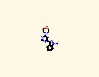 c1ccc2c(-c3cc(N4CCOCC4)ncn3)n[nH]c2c1